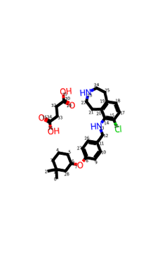 CC1(C)CCCC(Oc2ccc(CNc3c(Cl)ccc4c3CCNCC4)cc2)C1.O=C(O)CCC(=O)O